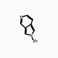 CC(C)n1cc2ccncc2c1